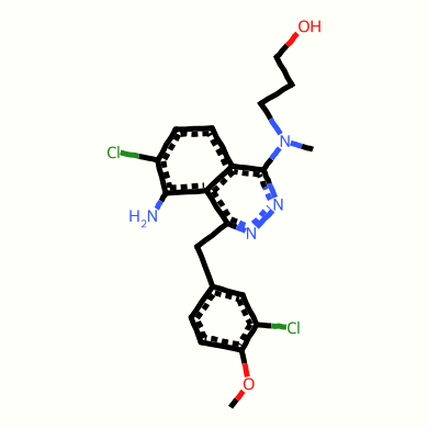 COc1ccc(Cc2nnc(N(C)CCCO)c3ccc(Cl)c(N)c23)cc1Cl